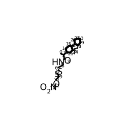 CC(C(=O)NCCSSCCO[N+](=O)[O-])c1ccc(-c2ccccc2)c(F)c1